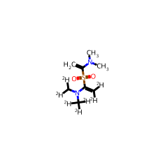 [2H]C([2H])=C(N(C([2H])[2H])C([2H])([2H])[2H])S(=O)(=O)C(=C)N(C)C